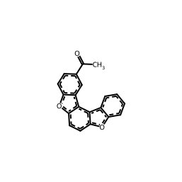 CC(=O)c1ccc2oc3ccc4oc5ccccc5c4c3c2c1